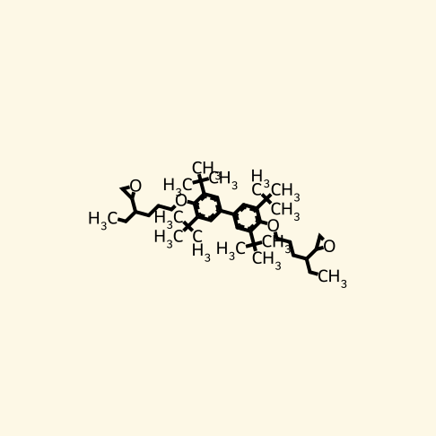 CCC(CCCOc1c(C(C)(C)C)cc(-c2cc(C(C)(C)C)c(OCCCC(CC)C3CO3)c(C(C)(C)C)c2)cc1C(C)(C)C)C1CO1